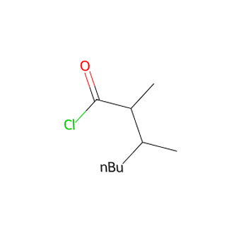 CCCCC(C)C(C)C(=O)Cl